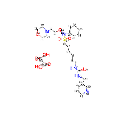 O=C(NCCCCCCS(=O)(=O)N(OCCN1CCOCC1)C1CCCCC1)NCc1cccnc1.O=C(O)C(=O)O